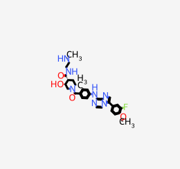 CNCCNC(=O)[C@@H]1CCN(C(=O)c2ccc(Nc3nccn4c(-c5ccc(OC)c(F)c5)cnc34)cc2C)C[C@@H]1O